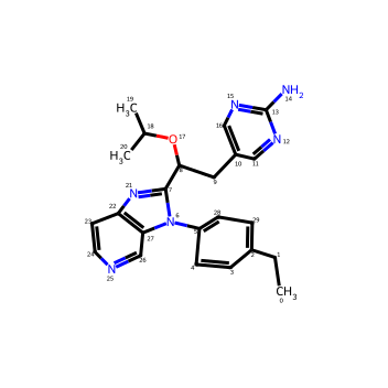 CCc1ccc(-n2c(C(Cc3cnc(N)nc3)OC(C)C)nc3ccncc32)cc1